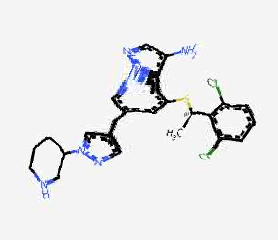 C[C@@H](Sc1cc(-c2cnn(C3CCCNC3)c2)cn2ncc(N)c12)c1c(Cl)cccc1Cl